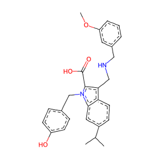 COc1cccc(CNCc2c(C(=O)O)n(Cc3ccc(O)cc3)c3cc(C(C)C)ccc23)c1